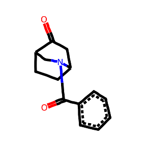 O=C1CC2CCC1CN2C(=O)c1ccccc1